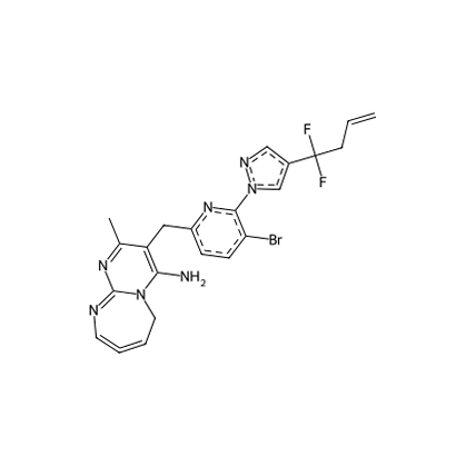 C=CCC(F)(F)c1cnn(-c2nc(CC3=C(N)N4CC=C=CN=C4N=C3C)ccc2Br)c1